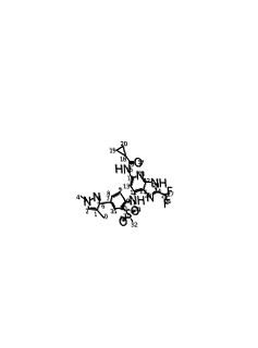 Cc1cn(C)nc1-c1ccc(Nc2cc(NC(=O)C3CC3)nc3[nH]c(C(F)F)nc23)c(S(C)(=O)=O)c1